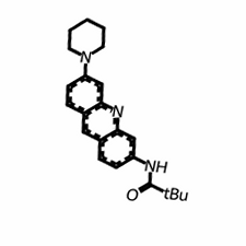 CC(C)(C)C(=O)Nc1ccc2cc3ccc(N4CCCCC4)cc3nc2c1